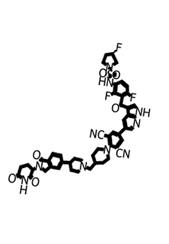 N#Cc1cc(-c2cnc3[nH]cc(C(=O)c4c(F)ccc(NS(=O)(=O)N5CC[C@@H](F)C5)c4F)c3c2)cc(C#N)c1N1CCC(CN2CCC(c3ccc4c(c3)CN(C3CCC(=O)NC3=O)C4=O)CC2)CC1